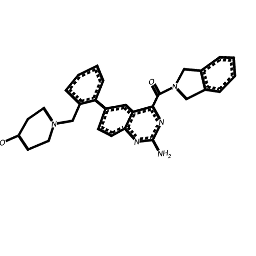 Nc1nc(C(=O)N2Cc3ccccc3C2)c2cc(-c3ccccc3CN3CCC(O)CC3)ccc2n1